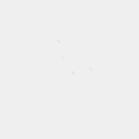 O=c1ncn(Cc2cc(Cl)ccc2Cl)c2nc(N3CCOCC3)sc12